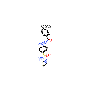 COc1ccc(C(=O)Nc2ccc([S+]([O-])Nc3nccs3)cc2)cc1